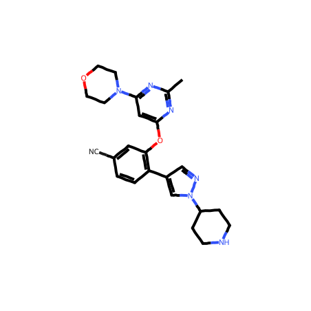 Cc1nc(Oc2cc(C#N)ccc2-c2cnn(C3CCNCC3)c2)cc(N2CCOCC2)n1